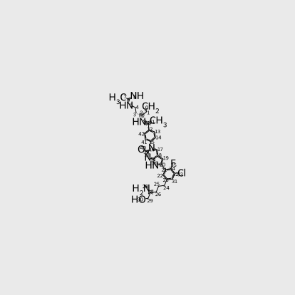 C=C[C@@H](CCNC(C)=N)N[C@@H](C)c1ccc(-n2cc3cc(-c4cc(CCC[C@@H](N)CO)cc(Cl)c4F)[nH]c3nc2=O)cc1